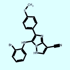 CSc1ccc(-c2nc3c(C#N)c[nH]n3c2Nc2ccccc2Br)cc1